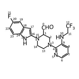 O=CC1CN(c2ncccc2NCC(F)(F)F)CCN1c1cc2cc(F)ccc2[nH]1